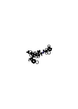 COc1ccc2c(c1)c(C(C)(C)C(C(=O)NC(C(=O)N(C)C/C=C(\C)C(=O)ON1C(=O)CCC1=O)C(C)(C)C)N(C)C(=O)OC(C)(C)C)cn2C